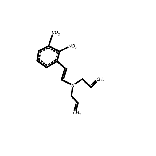 C=CCN(C=Cc1cccc([N+](=O)[O-])c1[N+](=O)[O-])CC=C